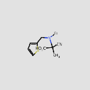 CCN(Cc1cccs1)C(C)(C#N)C(=O)O